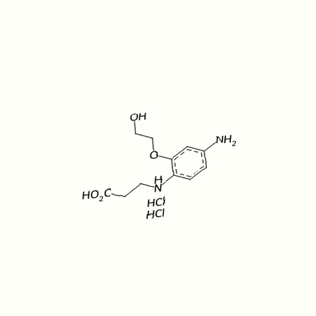 Cl.Cl.Nc1ccc(NCCC(=O)O)c(OCCO)c1